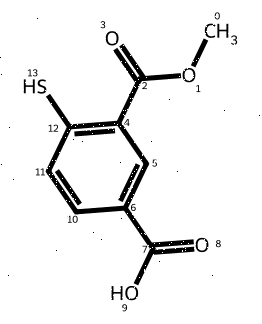 COC(=O)c1cc(C(=O)O)ccc1S